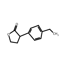 CCc1ccc(C2CCOC2=O)cc1